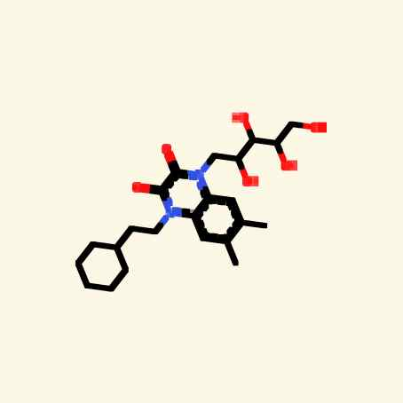 Cc1cc2c(cc1C)n(CC(O)C(O)C(O)CO)c(=O)c(=O)n2CCC1CCCCC1